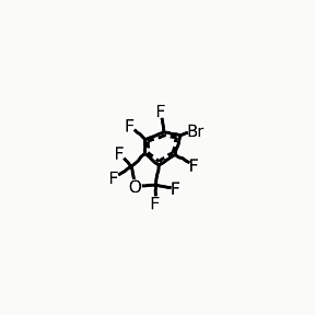 Fc1c(F)c2c(c(F)c1Br)C(F)(F)OC2(F)F